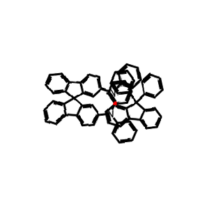 c1ccc(N(c2ccccc2)c2ccc3c(c2)C2(c4ccccc4-3)c3ccccc3-c3ccc(N(c4ccccc4)c4cccc5c4C(c4ccccc4)(c4ccccc4)c4ccccc4-5)cc32)cc1